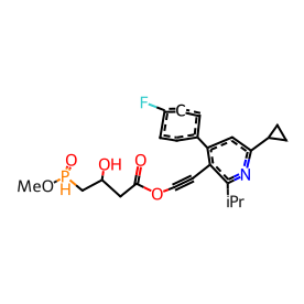 CO[PH](=O)CC(O)CC(=O)OC#Cc1c(-c2ccc(F)cc2)cc(C2CC2)nc1C(C)C